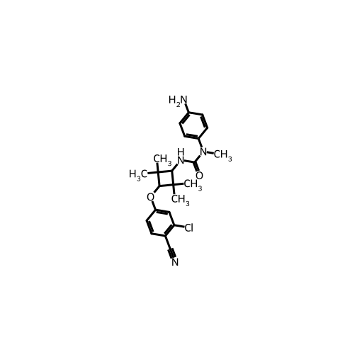 CN(C(=O)NC1C(C)(C)C(Oc2ccc(C#N)c(Cl)c2)C1(C)C)c1ccc(N)cc1